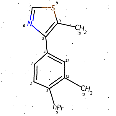 CCCc1ccc(-c2n[c]sc2C)cc1C